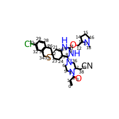 C=CC(=O)N1CCN(C2NC(OCC3CCCN3C)NC3C[C@]4(CCC32)Cc2ccc(Cl)cc2CS4)CC1CC#N